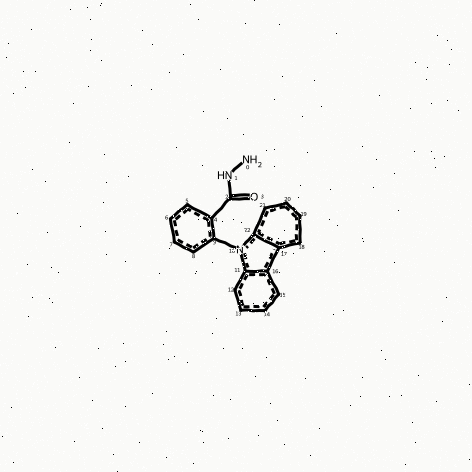 NNC(=O)c1ccccc1-n1c2ccccc2c2ccccc21